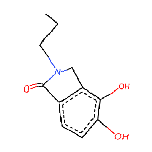 CCCN1Cc2c(ccc(O)c2O)C1=O